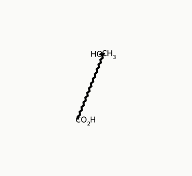 CC(O)CCCCCCCCCCCCCCCCCCCCCCCCCCC(=O)O